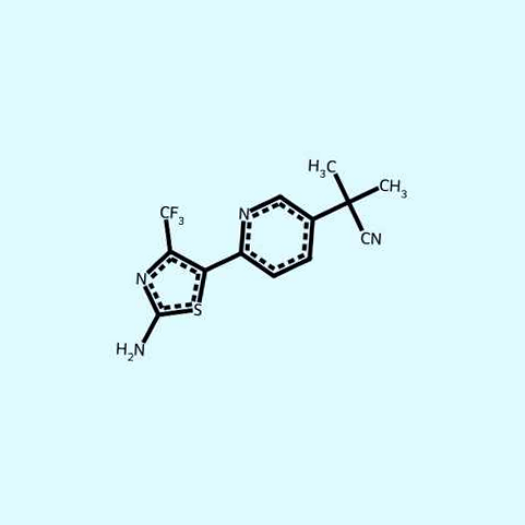 CC(C)(C#N)c1ccc(-c2sc(N)nc2C(F)(F)F)nc1